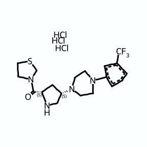 Cl.Cl.Cl.O=C([C@@H]1C[C@H](N2CCN(c3cccc(C(F)(F)F)c3)CC2)CN1)N1CCSC1